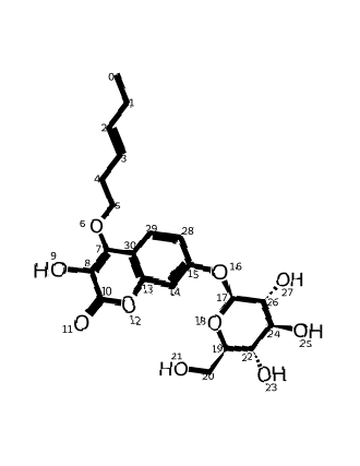 CCC=CCCOc1c(O)c(=O)oc2cc(O[C@@H]3O[C@H](CO)[C@@H](O)[C@H](O)[C@H]3O)ccc12